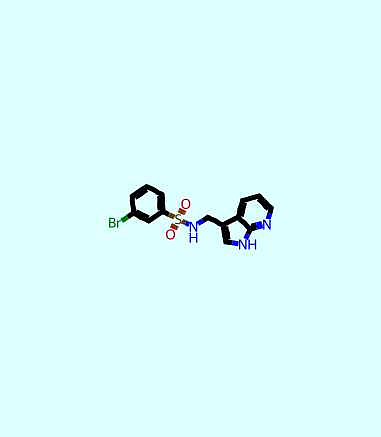 O=S(=O)(NCc1c[nH]c2ncccc12)c1cccc(Br)c1